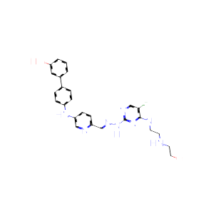 OCCNCCNc1nc(N/N=C/c2ccc(Nc3ccc(-c4cccc(O)c4)cc3)cn2)ncc1F